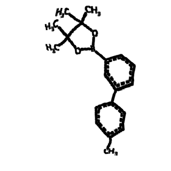 Cc1ccc(-c2cccc(B3OC(C)(C)C(C)(C)O3)c2)cc1